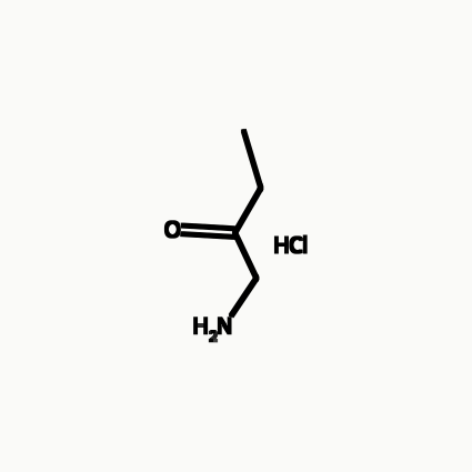 CCC(=O)CN.Cl